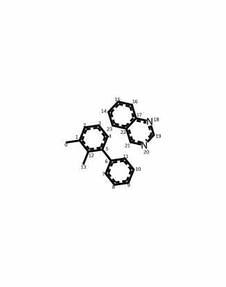 Cc1cccc(-c2ccccc2)c1C.c1ccc2ncncc2c1